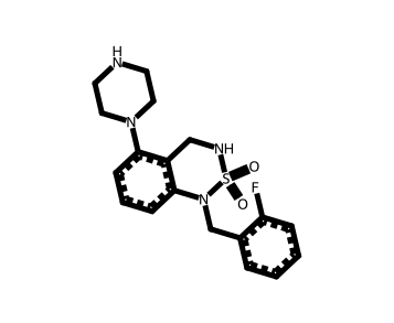 O=S1(=O)NCc2c(N3CCNCC3)cccc2N1Cc1ccccc1F